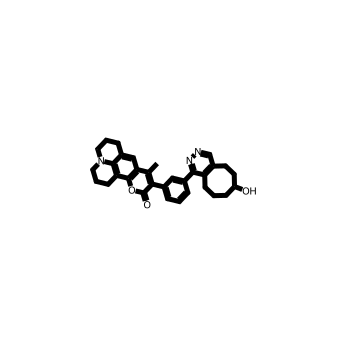 Cc1c(-c2cccc(-c3nncc4c3CCCC(O)CC4)c2)c(=O)oc2c3c4c(cc12)CCCN4CCC3